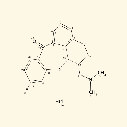 CN(C)CC1CCc2cccc3c2C1Cc1cc(F)ccc1C3=O.Cl